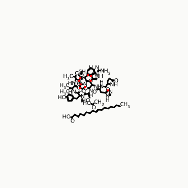 CC(=O)O.CCCCCCCCC=CCCCCCCCC(=O)O.CCNC(=O)C1CCCN1C(=O)C(CCCN=C(N)N)NC(=O)C(NC(=O)C(NC(=O)C(Cc1ccc(O)cc1)NC(=O)C(CO)NC(=O)C(Cc1c[nH]c2ccccc12)NC(=O)C(Cc1cnc[nH]1)NC(=O)C1CCC(=O)N1)C(C)C)C(C)C